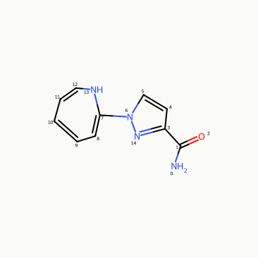 NC(=O)c1ccn(C2=CC=CC=CN2)n1